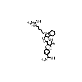 CN(C)C(=O)[C@H](Cc1ccc(C(=N)N)cc1)C(=O)N[C@H](C(=O)NCCCCNC(=N)N)C1CCCCC1